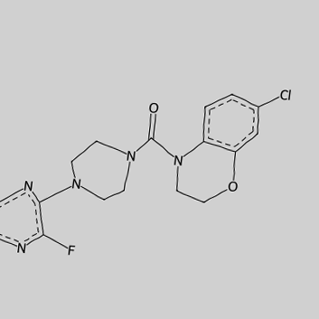 O=C(N1CCN(c2nccnc2F)CC1)N1CCOc2cc(Cl)ccc21